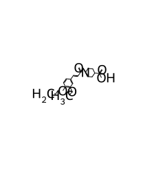 C=CCOc1ccc(/C=C/C(=O)N2CCC(C(=O)O)CC2)cc1OC